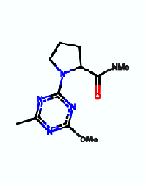 CNC(=O)C1CCCN1c1nc(C)nc(OC)n1